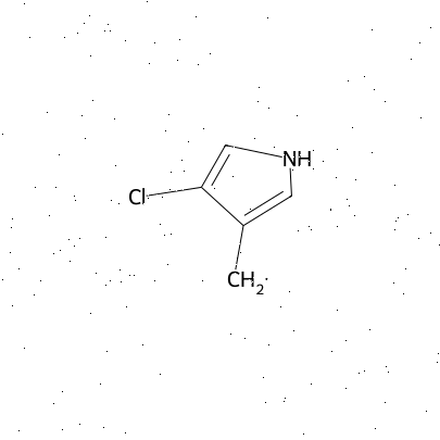 [CH2]c1c[nH]cc1Cl